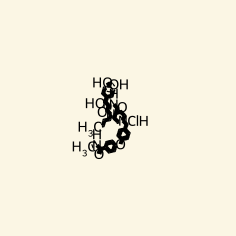 CCCCN1C(=O)[C@@H]([C@H](O)C2CCS(O)(O)CC2)NC(=O)C12CCN(Cc1ccc(Oc3ccc(C(=O)NC)cc3)cc1)CC2.Cl